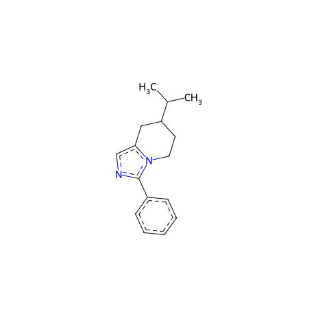 CC(C)C1CCn2c(cnc2-c2ccccc2)C1